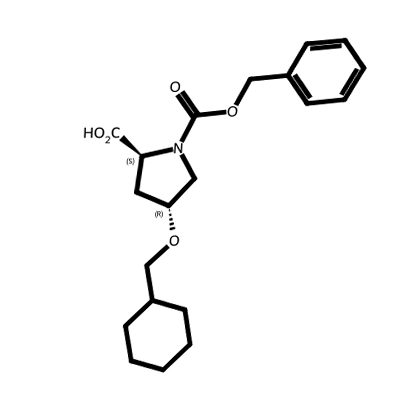 O=C(O)[C@@H]1C[C@@H](OCC2CCCCC2)CN1C(=O)OCc1ccccc1